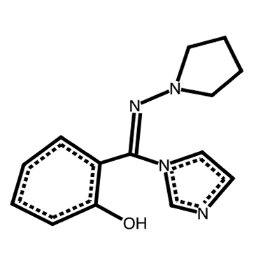 Oc1ccccc1C(=NN1CCCC1)n1ccnc1